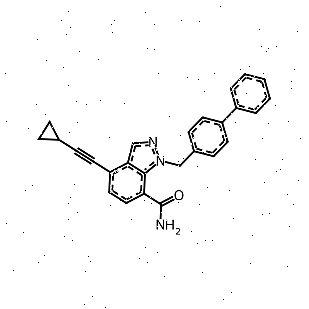 NC(=O)c1ccc(C#CC2CC2)c2cnn(Cc3ccc(-c4ccccc4)cc3)c12